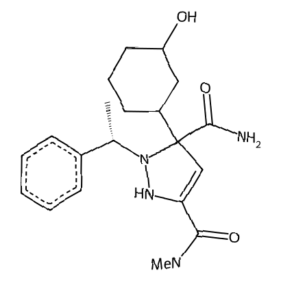 CNC(=O)C1=CC(C(N)=O)(C2CCCC(O)C2)N([C@@H](C)c2ccccc2)N1